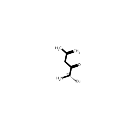 C=C(C)CC(=O)[C@@H](N)C(C)CC